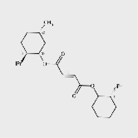 CC(C)[C@@H]1CCCCC1OC(=O)/C=C/C(=O)O[C@H]1C[C@@H](C)CC[C@@H]1C(C)C